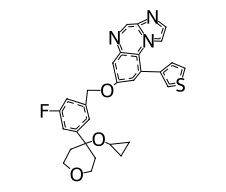 Fc1cc(COc2cc(-c3ccsc3)c3c(c2)ncc2nccn23)cc(C2(OC3CC3)CCOCC2)c1